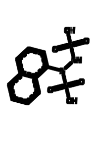 O=S(=O)(O)NN(c1cccc2ccccc12)S(=O)(=O)O